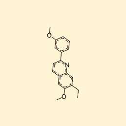 CCc1cc2nc(-c3cccc(OC)c3)ccc2cc1OC